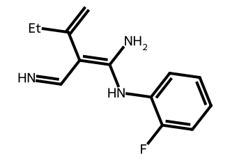 C=C(CC)/C(C=N)=C(\N)Nc1ccccc1F